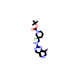 CC(C)(C)OC(=O)N1CCC[C@](F)(CNc2ncc3cncc(I)c3n2)C1